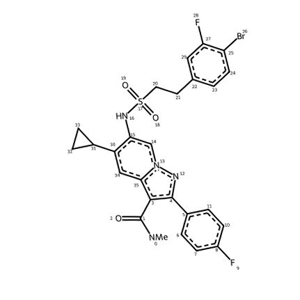 CNC(=O)c1c(-c2ccc(F)cc2)nn2cc(NS(=O)(=O)CCc3ccc(Br)c(F)c3)c(C3CC3)cc12